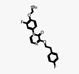 CC(C)(C)COc1ccc(-n2ccnc(OCCc3ccc(F)cc3)c2=O)cc1F